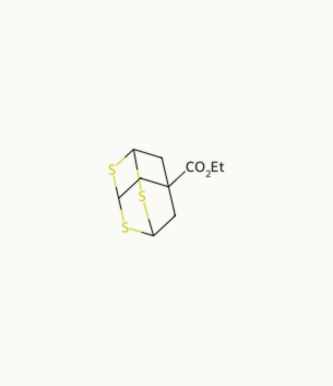 CCOC(=O)C12CC3SC(C1)SC(C2)S3